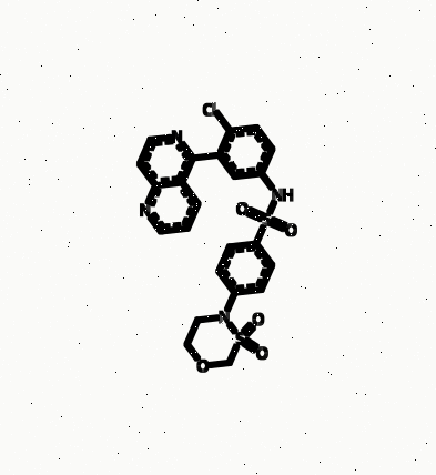 O=S(=O)(Nc1ccc(Cl)c(-c2nccc3ncccc23)c1)c1ccc(N2CCOCS2(=O)=O)cc1